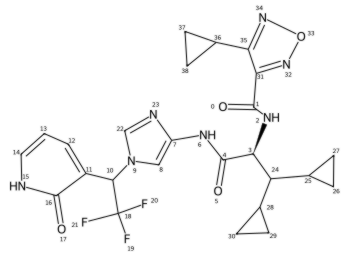 O=C(N[C@H](C(=O)Nc1cn(C(c2ccc[nH]c2=O)C(F)(F)F)cn1)C(C1CC1)C1CC1)c1nonc1C1CC1